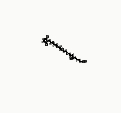 CC(C)(C)CCCCNCCCOCCOCCOCCOCCN1C(=O)C=CC1=O